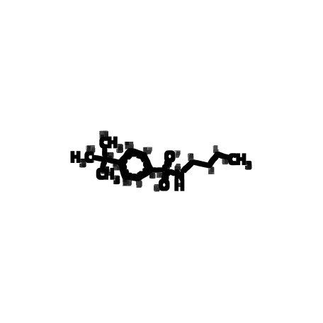 CCCCNS(=O)(=O)c1ccc(C(C)(C)C)cc1